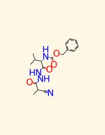 CC(C#N)C(=O)NNC(=O)[C@@H](NC(=O)OCc1ccccc1)C(C)C